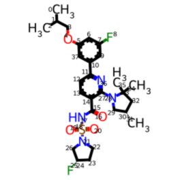 CC(C)COc1cc(F)cc(-c2ccc(C(=O)NS(=O)(=O)N3CC[C@H](F)C3)c(N3C[C@@H](C)CC3(C)C)n2)c1